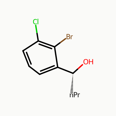 CCC[C@@H](O)c1cccc(Cl)c1Br